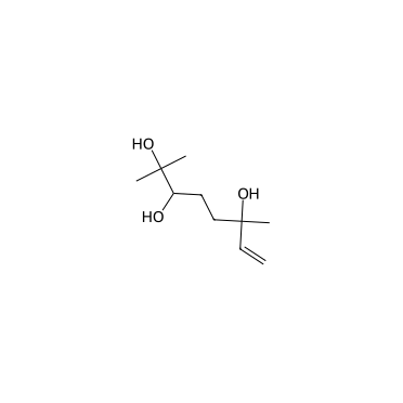 C=CC(C)(O)CCC(O)C(C)(C)O